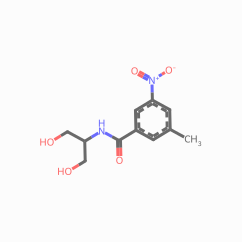 Cc1cc(C(=O)NC(CO)CO)cc([N+](=O)[O-])c1